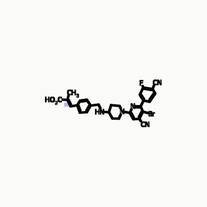 C/C(=C\c1ccc(CNC2CCN(c3cc(C#N)c(Br)c(-c4ccc(C#N)c(F)c4)n3)CC2)cc1)C(=O)O